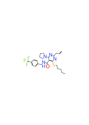 C=CCc1nc(SCCCCC)c(C(=O)NCc2ccc(C(F)(F)F)cc2)c(N2CCCC2)n1